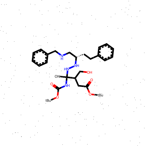 CC(C)(C)OC(=O)CC(CO)C(N=O)(NN[C@@H](CCc1ccccc1)CNCc1ccccc1)NC(=O)OC(C)(C)C